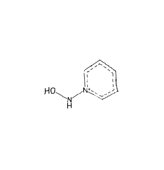 ON[n+]1ccccc1